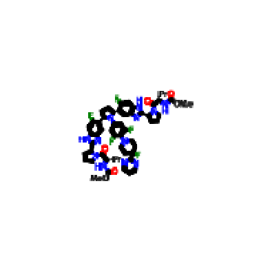 COC(=O)N[C@H](C(=O)N1CCCC1c1nc2cc([C@H]3CC[C@H](c4cc5nc([C@@H]6CCCN6C(=O)[C@@H](NC(=O)OC)C(C)C)[nH]c5cc4F)N3c3cc(F)c(N4CCC(F)(c5ncccn5)CC4)c(F)c3)c(F)cc2[nH]1)C(C)C